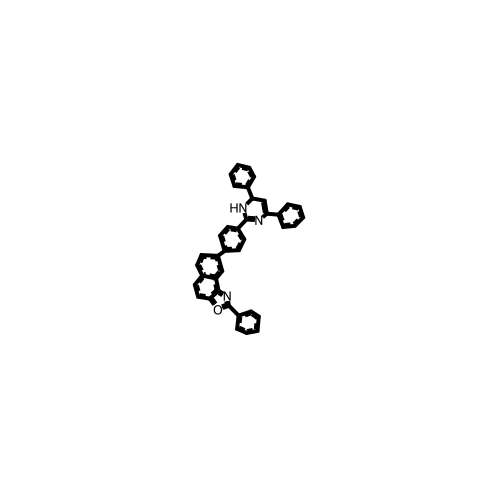 C1=C(c2ccccc2)N=C(c2ccc(-c3ccc4ccc5oc(-c6ccccc6)nc5c4c3)cc2)NC1c1ccccc1